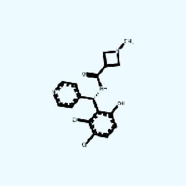 CN1CC(C(=O)N[C@@H](c2ccncc2)c2c(O)ccc(Cl)c2Cl)C1